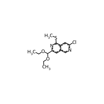 CCOC(OCC)c1cc2cnc(Cl)cc2c(SC)n1